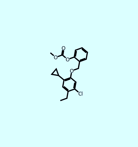 CCc1cc(C2CC2)c(OCc2ccccc2OC(=O)OC)cc1Cl